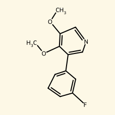 COc1cncc(-c2cccc(F)c2)c1OC